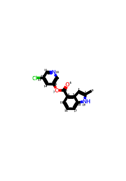 Cc1cc2c(C(=O)Oc3cncc(Cl)c3)cccc2[nH]1